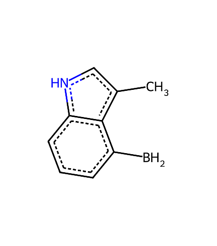 Bc1cccc2[nH]cc(C)c12